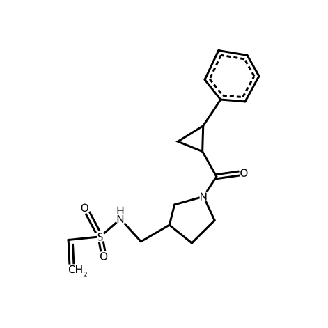 C=CS(=O)(=O)NCC1CCN(C(=O)C2CC2c2ccccc2)C1